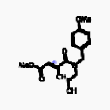 COC(=O)/C=C(\C)C(=O)N(CCO)Cc1ccc(OC)cc1